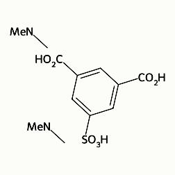 CNC.CNC.O=C(O)c1cc(C(=O)O)cc(S(=O)(=O)O)c1